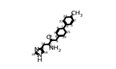 CC1C=CC(C2C=CC(CC(=O)[C@@H](N)Cc3c[nH]cn3)=CC2)=CC1